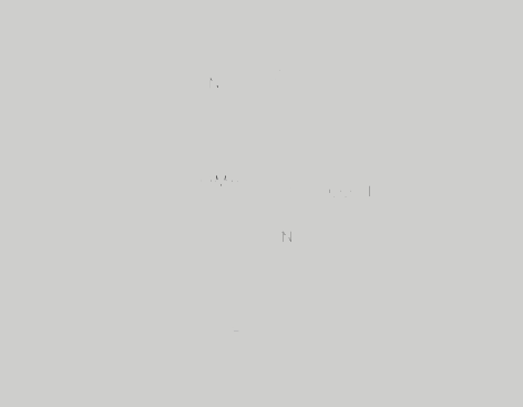 COc1ccc2ncc(Cl)c(CCC[C@H]3CCN(CC#Cc4cc(F)ccc4F)C[C@H]3C(=O)O)c2c1